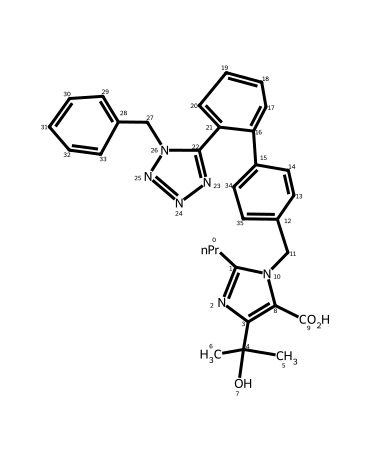 CCCc1nc(C(C)(C)O)c(C(=O)O)n1Cc1ccc(-c2ccccc2-c2nnnn2Cc2ccccc2)cc1